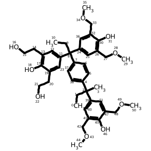 CCC(C)(c1ccc(C(CC)(c2cc(CCO)c(O)c(CCO)c2)c2cc(COC)c(O)c(COC)c2)cc1)c1cc(COC)c(O)c(COC)c1